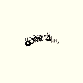 Nc1ccn(C[C@H]2CO[PH](O)(N[C@@H](Cc3ccccc3)C(=O)O)CO2)c(=O)n1